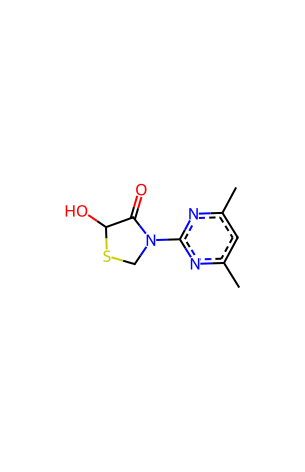 Cc1cc(C)nc(N2CSC(O)C2=O)n1